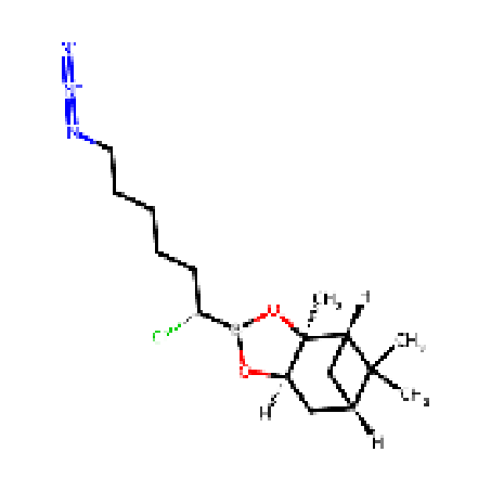 CC1(C)[C@@H]2C[C@H]3OB([C@H](Cl)CCCCCN=[N+]=[N-])O[C@@]3(C)[C@H]1C2